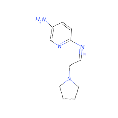 Nc1ccc(/N=C\CN2CCCC2)nc1